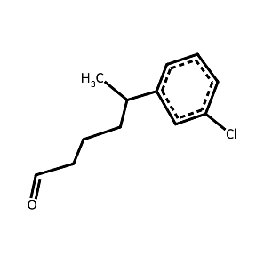 CC(CCCC=O)c1cccc(Cl)c1